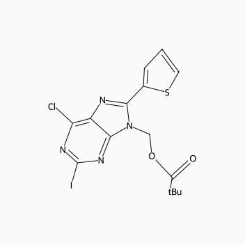 CC(C)(C)C(=O)OCn1c(-c2cccs2)nc2c(Cl)nc(I)nc21